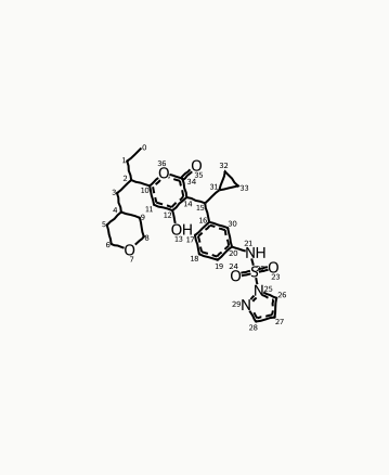 CCC(CC1CCOCC1)c1cc(O)c(C(c2cccc(NS(=O)(=O)n3cccn3)c2)C2CC2)c(=O)o1